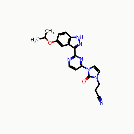 CC(C)Oc1ccc2[nH]nc(-c3nccc(-n4ccn(CCC#N)c4=O)n3)c2c1